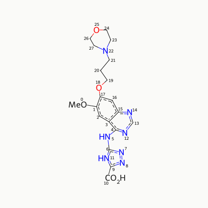 COc1cc2c(Nc3nnc(C(=O)O)[nH]3)ncnc2cc1OCCCN1CCOCC1